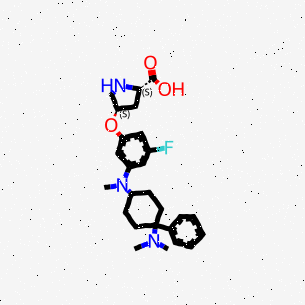 CN(c1cc(F)cc(O[C@@H]2CN[C@H](C(=O)O)C2)c1)C1CCC(c2ccccc2)(N(C)C)CC1